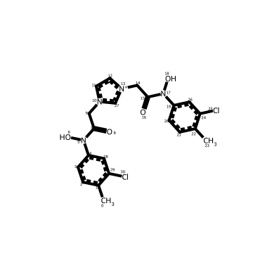 Cc1ccc(N(O)C(=O)Cn2cc[n+](CC(=O)N(O)c3ccc(C)c(Cl)c3)c2)cc1Cl